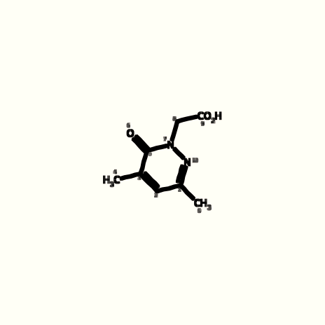 Cc1cc(C)c(=O)n(CC(=O)O)n1